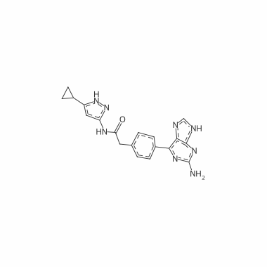 Nc1nc(-c2ccc(CC(=O)Nc3cc(C4CC4)[nH]n3)cc2)c2nc[nH]c2n1